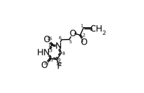 C=CC(=O)OCCn1cc(F)c(=O)[nH]c1=O